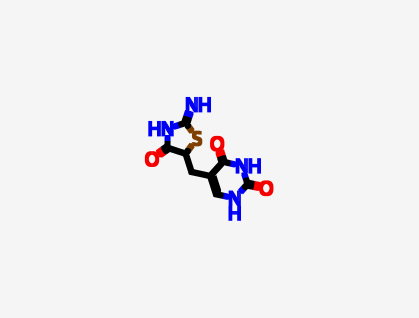 N=C1NC(=O)C(Cc2c[nH]c(=O)[nH]c2=O)S1